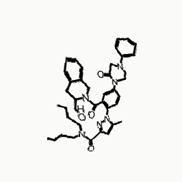 CCCCN(CCCC)C(=O)c1cc(C)n(-c2ccc(N3CCN(c4ccccc4)CC3=O)cc2C(=O)N2Cc3ccccc3CC2CO)n1